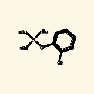 CCCC[Si](CCCC)(CCCC)Oc1ccccc1O